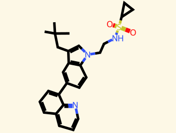 CC(C)(C)Cc1cn(CCNS(=O)(=O)C2CC2)c2ccc(-c3cccc4cccnc34)cc12